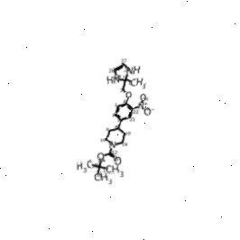 CC1(COc2ccc(C3CCN(C(=O)OC(C)(C)C)CC3)cc2[N+](=O)[O-])NC=CN1